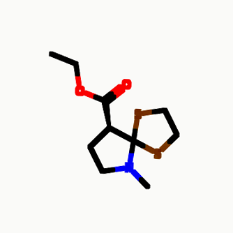 CCOC(=O)[C@@H]1CCN(C)C12SCCS2